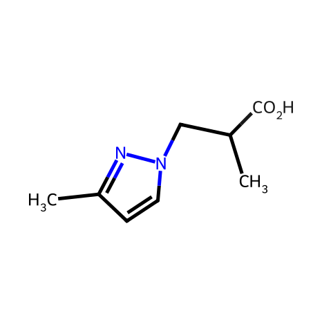 Cc1ccn(CC(C)C(=O)O)n1